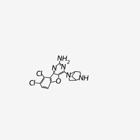 Nc1nc(N2CC3CC2CN3)c2oc3ccc(Cl)c(Cl)c3c2n1